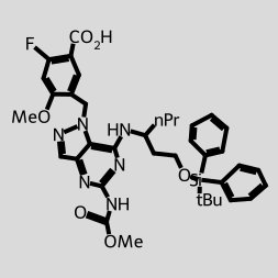 CCCC(CCO[Si](c1ccccc1)(c1ccccc1)C(C)(C)C)Nc1nc(NC(=O)OC)nc2cnn(Cc3cc(C(=O)O)c(F)cc3OC)c12